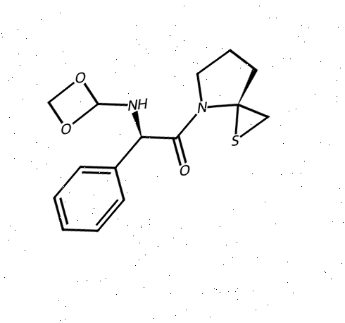 O=C([C@H](NC1OCO1)c1ccccc1)N1CCC[C@]12CS2